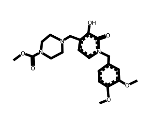 COC(=O)N1CCN(Cc2ccn(Cc3ccc(OC)c(OC)c3)c(=O)c2O)CC1